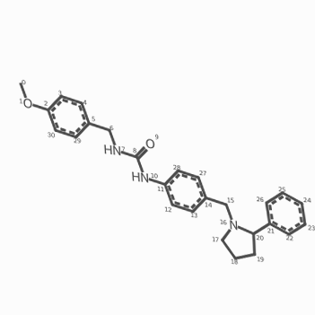 COc1ccc(CNC(=O)Nc2ccc(CN3CCCC3c3ccccc3)cc2)cc1